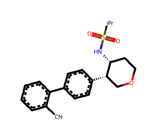 CC(C)S(=O)(=O)N[C@@H]1CCOC[C@@H]1c1ccc(-c2ccccc2C#N)cc1